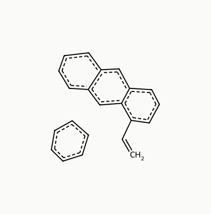 C=Cc1cccc2cc3ccccc3cc12.c1ccccc1